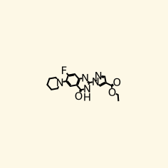 CCOC(=O)c1cnn(-c2nc3cc(F)c(N4CCCCC4)cc3c(=O)[nH]2)c1